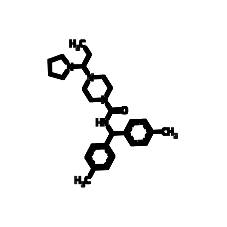 CCC(N1CCCC1)N1CCN(C(=O)NC(c2ccc(C)cc2)c2ccc(C)cc2)CC1